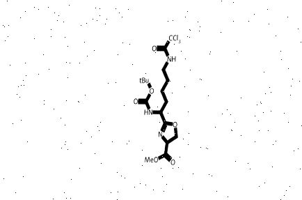 COC(=O)C1COC(C(CCCCNC(=O)C(Cl)(Cl)Cl)NC(=O)OC(C)(C)C)=N1